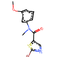 COc1cccc(N(C)C(=O)c2cnc(Br)s2)c1